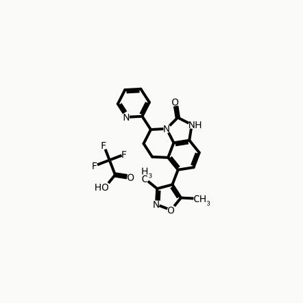 Cc1noc(C)c1-c1ccc2[nH]c(=O)n3c2c1CCC3c1ccccn1.O=C(O)C(F)(F)F